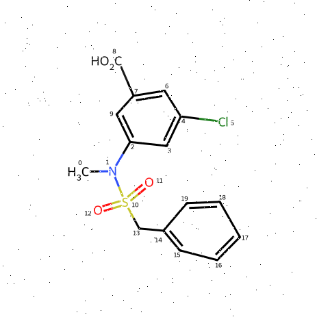 CN(c1cc(Cl)cc(C(=O)O)c1)S(=O)(=O)Cc1ccccc1